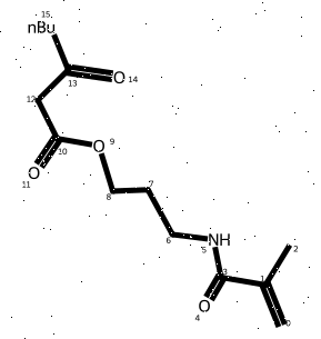 C=C(C)C(=O)NCCCOC(=O)CC(=O)CCCC